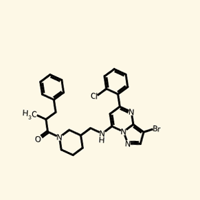 CC(Cc1ccccc1)C(=O)N1CCCC(CNc2cc(-c3ccccc3Cl)nc3c(Br)cnn23)C1